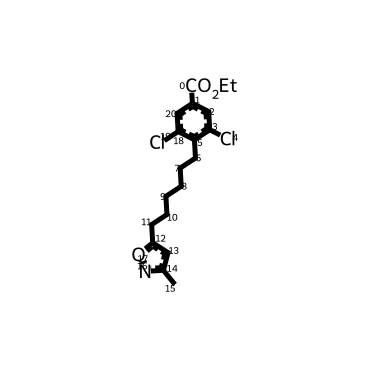 CCOC(=O)c1cc(Cl)c(CCCCCCc2cc(C)no2)c(Cl)c1